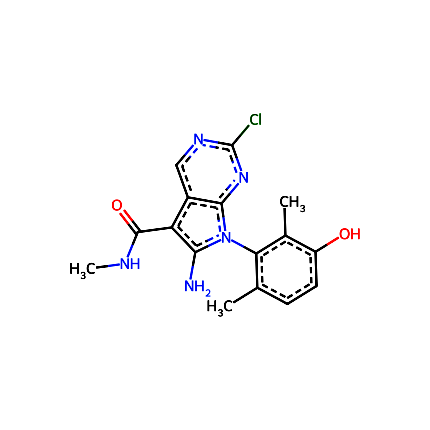 CNC(=O)c1c(N)n(-c2c(C)ccc(O)c2C)c2nc(Cl)ncc12